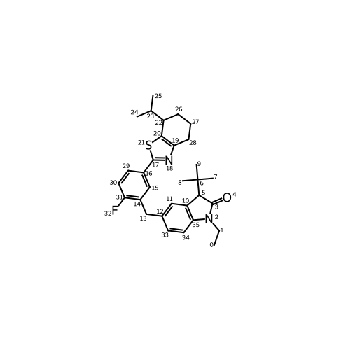 CCN1C(=O)C(C(C)(C)C)c2cc(Cc3cc(-c4nc5c(s4)C(C(C)C)CCC5)ccc3F)ccc21